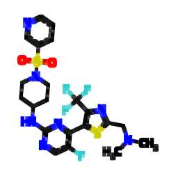 CN(C)Cc1nc(C(F)(F)F)c(-c2nc(NC3CCN(S(=O)(=O)c4cccnc4)CC3)ncc2F)s1